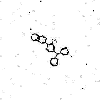 Cc1cc(N(c2ccccc2)c2ccccc2)ccc1-c1ccc2c(c1)C1CCC2C1